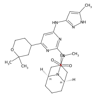 CCS(=O)(=O)N1[C@@H]2CCC[C@H]1CC(N(C)c1nc(Nc3cc(C)[nH]n3)cc(C3CCOC(C)(C)C3)n1)C2